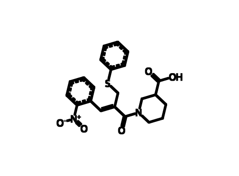 O=C(O)C1CCCN(C(=O)C(=Cc2ccccc2[N+](=O)[O-])CSc2ccccc2)C1